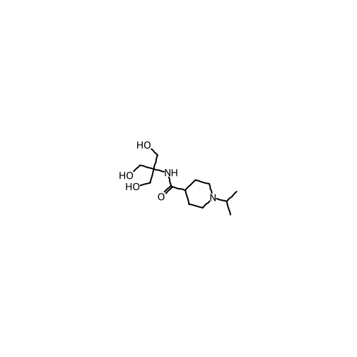 CC(C)N1CCC(C(=O)NC(CO)(CO)CO)CC1